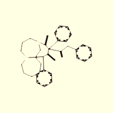 O=C(Cc1ccccc1)C1(c2ccccc2)C(=O)C(c2ccccc2)C23CCCCCN2CCCN(C3)C1=O